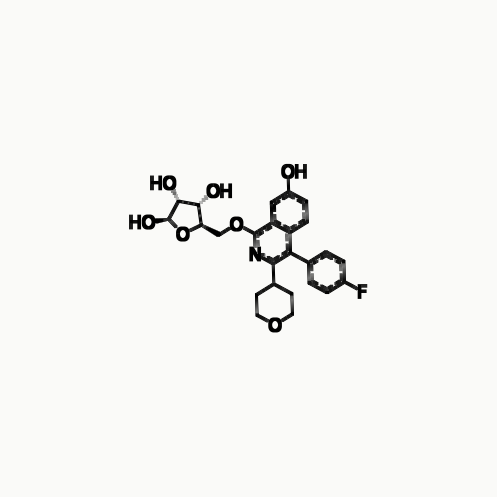 Oc1ccc2c(-c3ccc(F)cc3)c(C3CCOCC3)nc(OC[C@H]3O[C@@H](O)[C@H](O)[C@@H]3O)c2c1